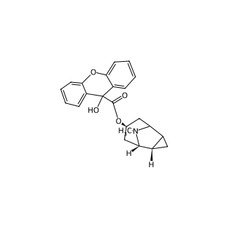 CN1C2C[C@H](OC(=O)C3(O)c4ccccc4Oc4ccccc43)C[C@H]1[C@H]1CC21